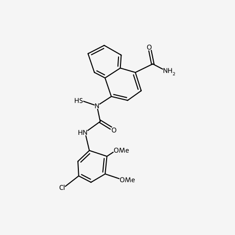 COc1cc(Cl)cc(NC(=O)N(S)c2ccc(C(N)=O)c3ccccc23)c1OC